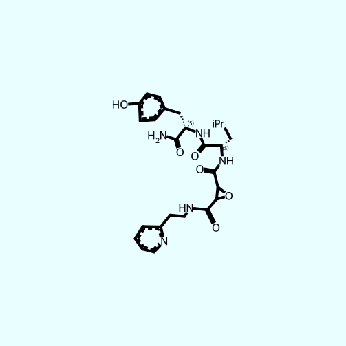 CC(C)C[C@H](NC(=O)C1OC1C(=O)NCCc1ccccn1)C(=O)N[C@@H](Cc1ccc(O)cc1)C(N)=O